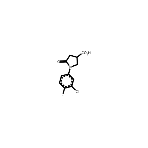 O=C(O)C1CC(=O)N(c2ccc(F)c(Cl)c2)C1